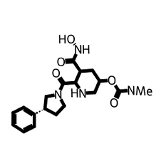 CNC(=O)OC1CNC(C(=O)N2CC[C@H](c3ccccc3)C2)C(C(=O)NO)C1